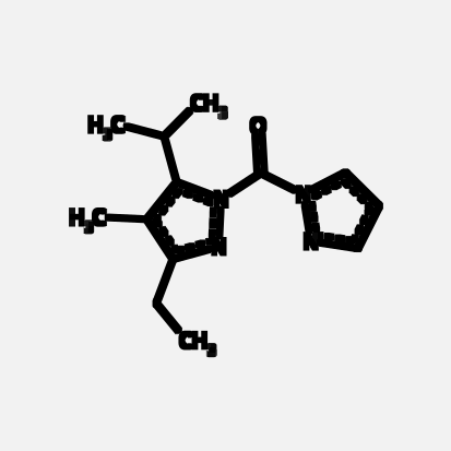 CCc1nn(C(=O)n2cccn2)c(C(C)C)c1C